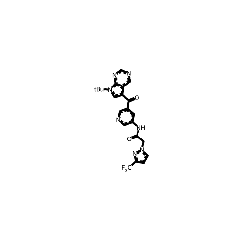 CC(C)(C)n1cc(C(=O)c2cncc(NC(=O)Cn3ccc(C(F)(F)F)n3)c2)c2cncnc21